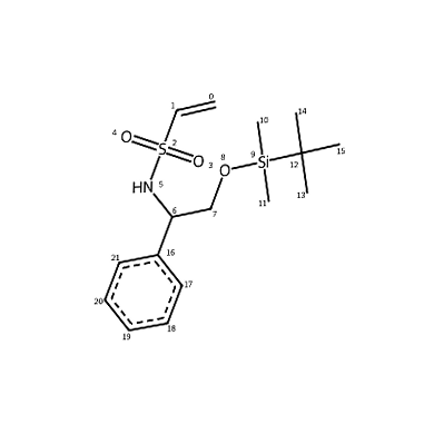 C=CS(=O)(=O)NC(CO[Si](C)(C)C(C)(C)C)c1ccccc1